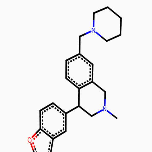 CN1Cc2cc(CN3CCCCC3)ccc2C(c2ccc3occc3c2)C1